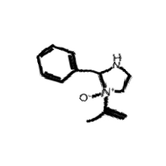 C=C(C)[N+]1([O-])CCNC1c1ccccc1